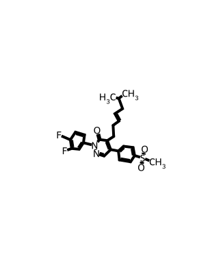 CC(C)CC=CCCc1c(-c2ccc(S(C)(=O)=O)cc2)cnn(-c2ccc(F)c(F)c2)c1=O